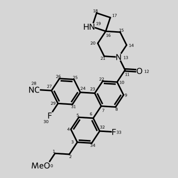 COCCc1ccc(-c2ccc(C(=O)N3CCC4(CCN4)CC3)cc2-c2ccc(C#N)c(F)c2)c(F)c1